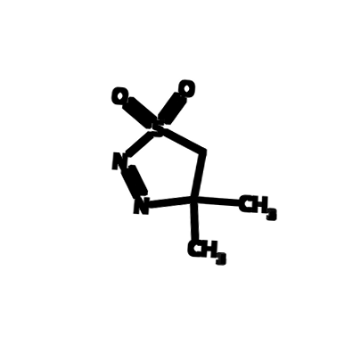 CC1(C)CS(=O)(=O)N=N1